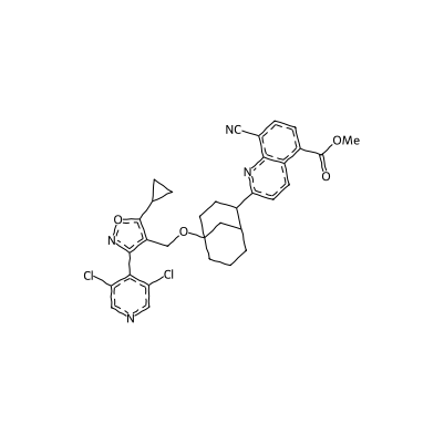 COC(=O)c1ccc(C#N)c2nc(C3CCC4(OCc5c(-c6c(Cl)cncc6Cl)noc5C5CC5)CCCC3C4)ccc12